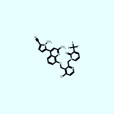 Cc1cc(-c2ccc(C#N)n2C)c2cccc(OCc3c(Cl)ccnc3Cn3cccc(C(F)(F)F)c3=O)c2n1